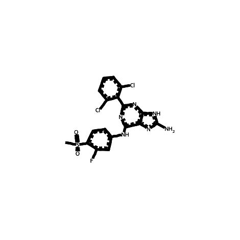 CS(=O)(=O)c1ccc(Nc2nc(-c3c(Cl)cccc3Cl)nc3[nH]c(N)nc23)cc1F